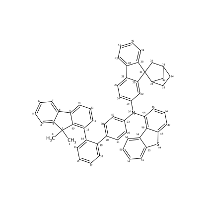 CC1(C)c2ccccc2-c2cccc(-c3ccccc3-c3ccc(N(c4ccc5c(c4)C4(CC6CCC4C6)c4ccccc4-5)c4cccc5sc6ccccc6c45)cc3)c21